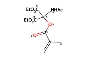 C=C(C)C(=O)OC(NC(C)=O)(C(=O)OCC)C(=O)OCC